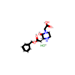 Cl.O=C(O)CN1CCN[C@@H](CC(=O)OCc2ccccc2)C1=O